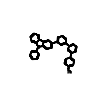 CC(C)c1ccc(-c2cccc(-c3cccc(-c4ccc5c(c4)c4ccccc4n5-c4ccccc4)c3)c2)cc1